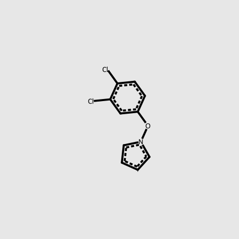 Clc1ccc(On2c[c]cc2)cc1Cl